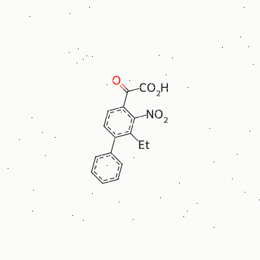 CCc1c(-c2ccccc2)ccc(C(=O)C(=O)O)c1[N+](=O)[O-]